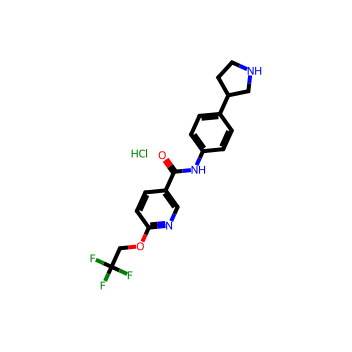 Cl.O=C(Nc1ccc(C2CCNC2)cc1)c1ccc(OCC(F)(F)F)nc1